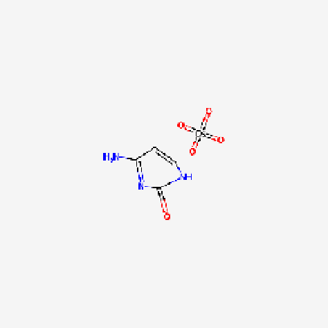 Nc1cc[nH]c(=O)n1.[O]=[Os](=[O])(=[O])=[O]